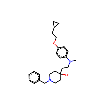 CN(CCC1(O)CCN(Cc2ccccc2)CC1)c1ccc(OCCC2CC2)cc1